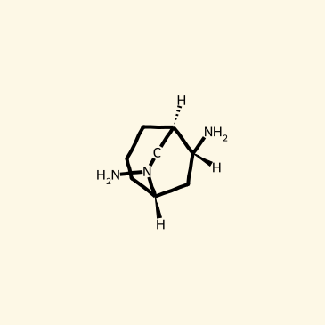 N[C@@H]1C[C@@H]2CCC[C@@H]1CN2N